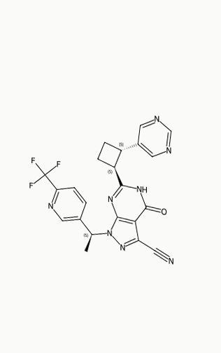 C[C@@H](c1ccc(C(F)(F)F)nc1)n1nc(C#N)c2c(=O)[nH]c([C@H]3CC[C@@H]3c3cncnc3)nc21